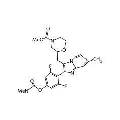 CNC(=O)Oc1cc(F)c(-c2nc3cc(C)ccn3c2C[C@H]2CN(C(=O)OC)CCO2)c(F)c1